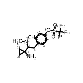 CN(C)C(Cc1ccc(OS(=O)(=O)C(F)(F)F)cc1)C1(N)CC1